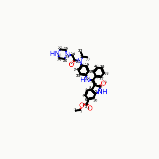 CCOC(=O)c1ccc2c(c1)NC(=O)C2=C(Nc1ccc(N(C(=O)CN2CCNCC2)C(C)C)cc1)c1ccccc1